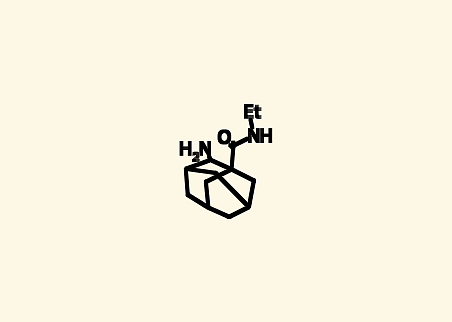 CCNC(=O)C12CC3CC(CC(C3)C1N)C2